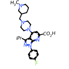 CC(C)c1nn(-c2ccc(F)cc2)c2nc(C(=O)O)cc(N3CCN(CC4CCCN(C)C4)CC3)c12